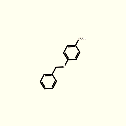 CCCCCCCCc1ccc(OCc2ccccc2)cc1